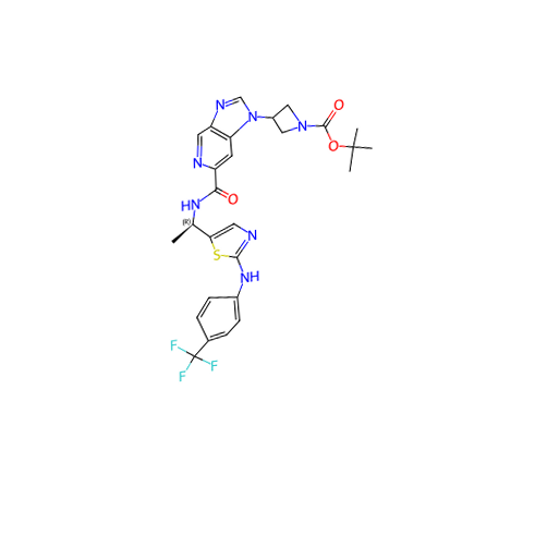 C[C@@H](NC(=O)c1cc2c(cn1)ncn2C1CN(C(=O)OC(C)(C)C)C1)c1cnc(Nc2ccc(C(F)(F)F)cc2)s1